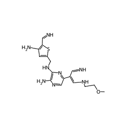 COCCN/C=C(\C=N)c1cnc(N)c(NCc2cc(N)c(C=N)s2)n1